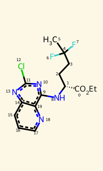 CCOC(=O)[C@@H](CCC(C)(F)F)Nc1nc(Cl)nc2cccnc12